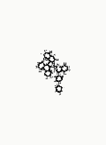 c1ccc(-c2ccc(-c3nc(-n4c5ccc6ccccc6c5c5c6ccccc6c6ccccc6c54)nc4ccccc34)cc2)cc1